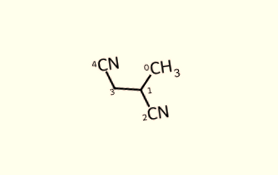 CC(C#N)CC#N